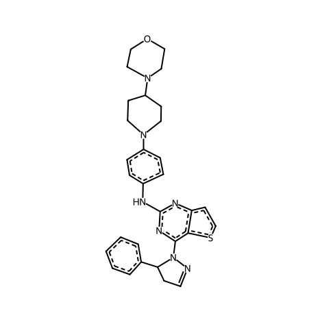 C1=NN(c2nc(Nc3ccc(N4CCC(N5CCOCC5)CC4)cc3)nc3ccsc23)C(c2ccccc2)C1